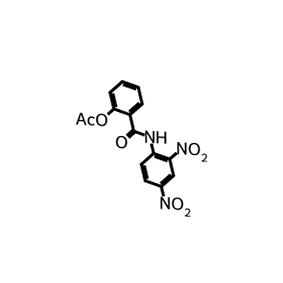 CC(=O)Oc1ccccc1C(=O)Nc1ccc([N+](=O)[O-])cc1[N+](=O)[O-]